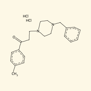 Cc1ccc(C(=O)CCN2CCN(Cc3ccccc3)CC2)cc1.Cl.Cl